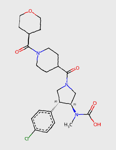 CN(C(=O)O)[C@@H]1CN(C(=O)C2CCN(C(=O)C3CCOCC3)CC2)C[C@H]1c1ccc(Cl)cc1